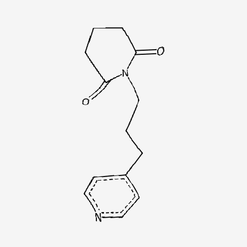 O=C1CCCC(=O)N1CCCc1ccncc1